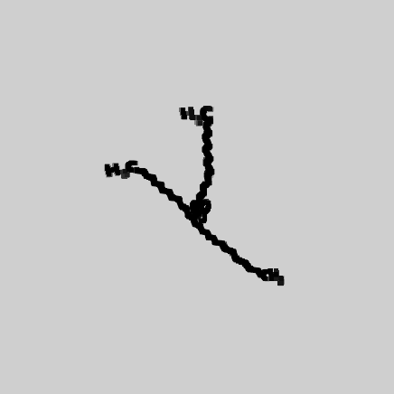 CCCCCCCCCCCCCCCCC(CCCCCCCCCCCCCC)C(=O)OC(=O)CCCCCCCCCCCCCCC